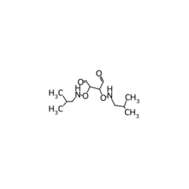 CC(C)CNOC(C=O)C(C=O)ONCC(C)C